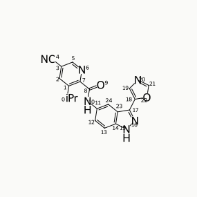 CC(C)c1cc(C#N)cnc1C(=O)Nc1ccc2[nH]nc(-c3cnco3)c2c1